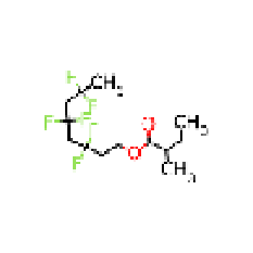 CCC(C)C(=O)OCCC(F)(F)CC(F)(F)CC(C)(F)F